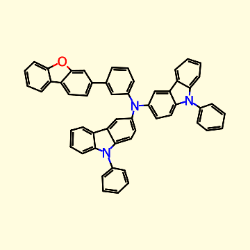 c1ccc(-n2c3ccccc3c3cc(N(c4cccc(-c5ccc6c(c5)oc5ccccc56)c4)c4ccc5c(c4)c4ccccc4n5-c4ccccc4)ccc32)cc1